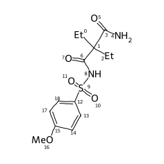 CCC(CC)(C(N)=O)C(=O)NS(=O)(=O)c1ccc(OC)cc1